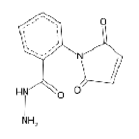 NNC(=O)c1ccccc1N1C(=O)C=CC1=O